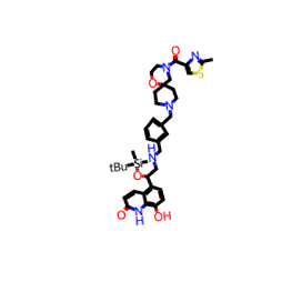 Cc1nc(C(=O)N2CCOC3(CCN(Cc4cccc(CNCC(O[Si](C)(C)C(C)(C)C)c5ccc(O)c6[nH]c(=O)ccc56)c4)CC3)C2)cs1